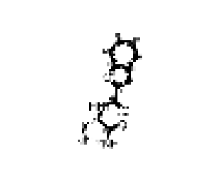 CC(C)C[C@H](NC(=O)c1cc2ccccc2o1)C([NH])=O